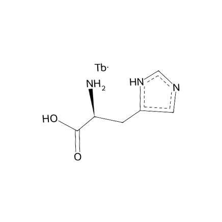 N[C@@H](Cc1cnc[nH]1)C(=O)O.[Tb]